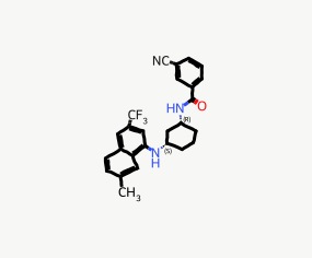 Cc1ccc2cc(C(F)(F)F)cc(N[C@H]3CCC[C@@H](NC(=O)c4cccc(C#N)c4)C3)c2c1